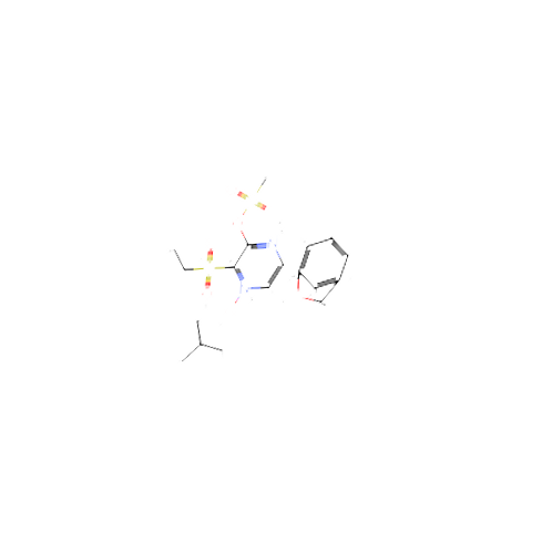 CC(C)C.CCS(=O)(=O)c1c(OS(C)(=O)=O)ncc[n+]1[O-].c1cc2cc(c1)OC2